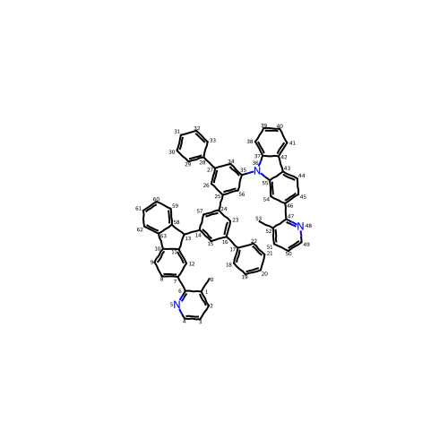 Cc1cccnc1-c1ccc2c(c1)C(c1cc(-c3ccccc3)cc(-c3cc(-c4ccccc4)cc(-n4c5ccccc5c5ccc(-c6ncccc6C)cc54)c3)c1)c1ccccc1-2